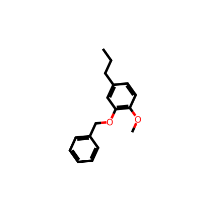 CCCc1ccc(OC)c(OCc2ccccc2)c1